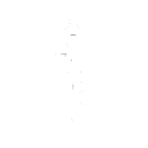 CC(=O)c1ccc(-c2cc(Cl)c3c(c2)CC(CNC(=O)C=Cc2cccnn2)O3)o1